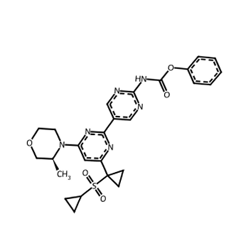 C[C@H]1COCCN1c1cc(C2(S(=O)(=O)C3CC3)CC2)nc(-c2cnc(NC(=O)Oc3ccccc3)nc2)n1